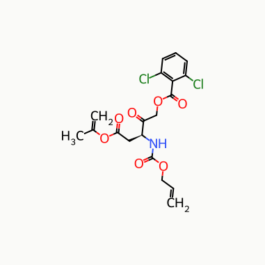 C=CCOC(=O)N[C@@H](CC(=O)OC(=C)C)C(=O)COC(=O)c1c(Cl)cccc1Cl